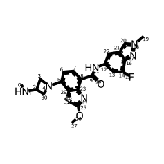 CNC1CN(c2ccc(C(=O)Nc3cc(F)c4nn(C)cc4c3)c3nc(OC)sc23)C1